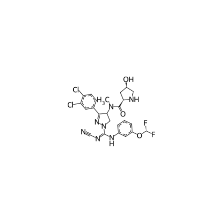 CN(C(=O)[C@H]1C[C@@H](O)CN1)C1CN(/C(=N\C#N)Nc2cccc(OC(F)F)c2)N=C1c1ccc(Cl)c(Cl)c1